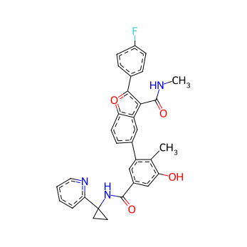 CNC(=O)c1c(-c2ccc(F)cc2)oc2ccc(-c3cc(C(=O)NC4(c5ccccn5)CC4)cc(O)c3C)cc12